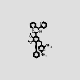 COc1c(C(=O)NC(c2ccccn2)c2ccccn2)cc(Cc2cnc(N)nc2N)c(C#Cc2ccccc2)c1OC